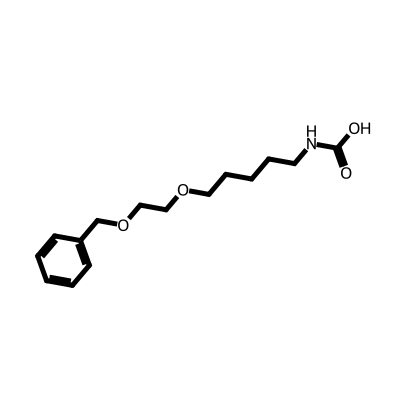 O=C(O)NCCCCCOCCOCc1ccccc1